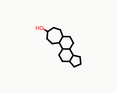 OC1CCC2CCC3C4CCCC4CCC3C2CC1